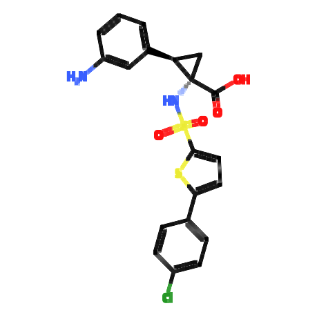 Nc1cccc([C@H]2C[C@@]2(NS(=O)(=O)c2ccc(-c3ccc(Cl)cc3)s2)C(=O)O)c1